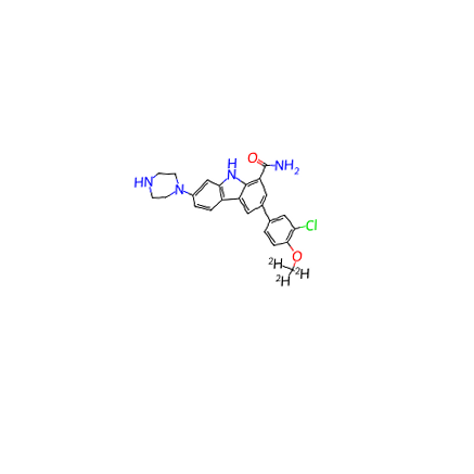 [2H]C([2H])([2H])Oc1ccc(-c2cc(C(N)=O)c3[nH]c4cc(N5CCNCC5)ccc4c3c2)cc1Cl